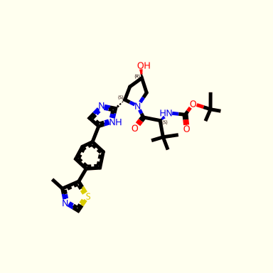 Cc1ncsc1-c1ccc(-c2cnc([C@@H]3C[C@@H](O)CN3C(=O)[C@@H](NC(=O)OC(C)(C)C)C(C)(C)C)[nH]2)cc1